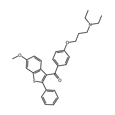 CCN(CC)CCCOc1ccc(C(=O)c2c(-c3ccccc3)sc3cc(OC)ccc23)cc1